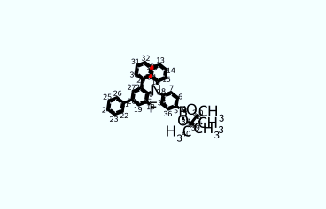 CC1(C)OB(c2ccc(N(c3ccccc3)c3c(F)cc(-c4ccccc4)cc3-c3ccccc3)cc2)OC1(C)C